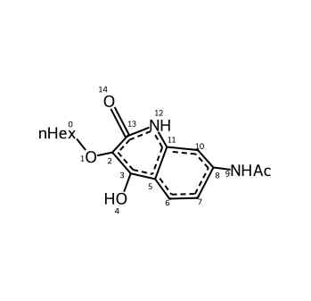 CCCCCCOc1c(O)c2ccc(NC(C)=O)cc2[nH]c1=O